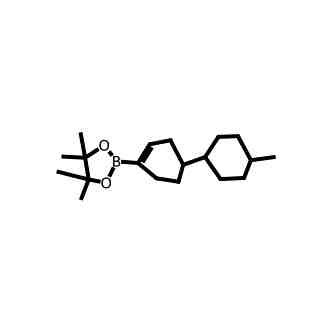 CC1CCC(C2CC=C(B3OC(C)(C)C(C)(C)O3)CC2)CC1